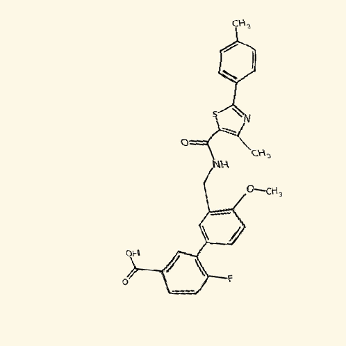 COc1ccc(-c2cc(C(=O)O)ccc2F)cc1CNC(=O)c1sc(-c2ccc(C)cc2)nc1C